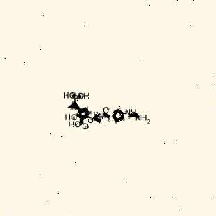 NCCN[C@H]1CC[C@H](CC(=O)N2CC(Oc3ccc([C@H]4C[C@H]4B(O)O)c(O)c3C(=O)O)C2)CC1